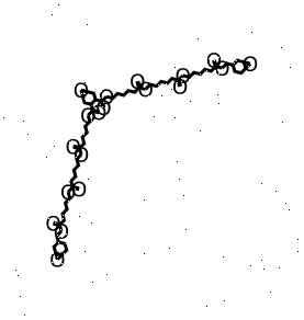 O=C(CCCCCOC(=O)CCCCCOC(=O)C1CC2OC2CC1C(=O)OCCCCCC(=O)OCCCCCC(=O)OCCCCCC(=O)OCC1CCC2OC2C1)OCCCCCC(=O)OCC1CCC2OC2C1